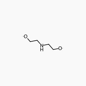 [O]CCNCC[O]